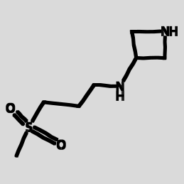 CS(=O)(=O)CCCNC1CNC1